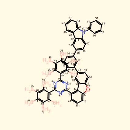 Bc1c(B)c(B)c(-c2nc(-c3c(B)c(B)c(B)c(B)c3B)nc(-c3cccc4oc5ccc(-c6cccc(-c7ccc8c(c7)c7ccccc7n8-c7ccccc7)c6)cc5c34)n2)c(B)c1B